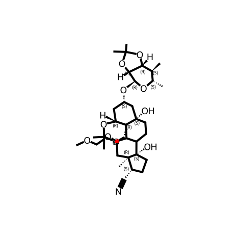 COCO[C@@H]1C[C@]2(C)[C@@H](C#N)CC[C@]2(O)C2CC[C@]3(O)C[C@@H](O[C@@H]4O[C@@H](C)[C@H](C)[C@H]5OC(C)(C)O[C@@H]45)C[C@H]4OC(C)(C)OC[C@]43C21